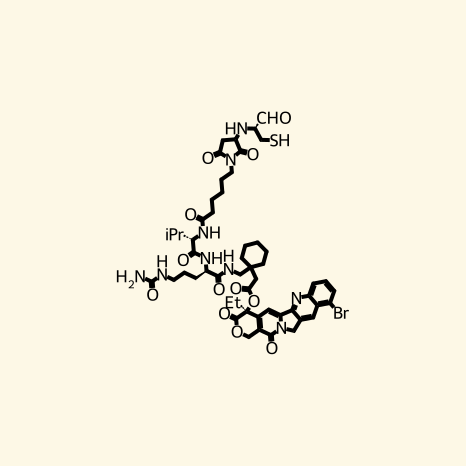 CC[C@@]1(OC(=O)CC2(CNC(=O)[C@@H](CCCNC(N)=O)NC(=O)[C@@H](NC(=O)CCCCCN3C(=O)CC(N[C@H](C=O)CS)C3=O)C(C)C)CCCCC2)C(=O)OCc2c1cc1n(c2=O)Cc2cc3c(Br)cccc3nc2-1